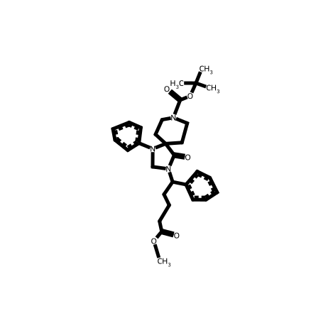 COC(=O)CCCC(c1ccccc1)N1CN(c2ccccc2)C2(CCN(C(=O)OC(C)(C)C)CC2)C1=O